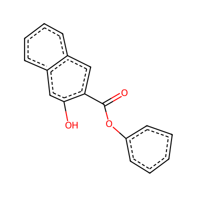 O=C(Oc1ccccc1)c1cc2ccccc2cc1O